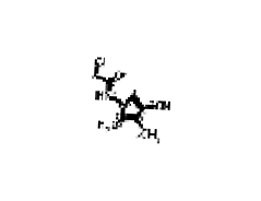 Cc1c(C#N)cn(NC(=O)CCl)c1C